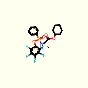 C[C@H](N[P@@](=O)(Oc1c(F)c(F)c(F)c(F)c1F)c1ccccc1)C(=O)OC1CCCCC1